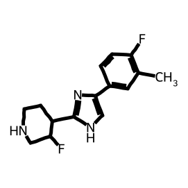 Cc1cc(-c2c[nH]c(C3CCNCC3F)n2)ccc1F